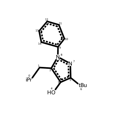 CC(C)Cc1c(O)c(C(C)(C)C)nn1-c1ccccc1